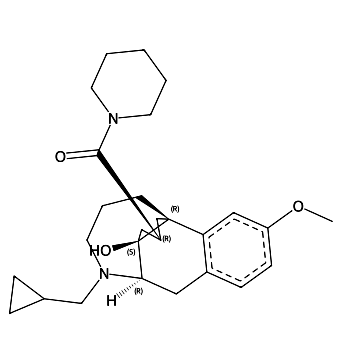 COc1ccc2c(c1)[C@]13CCCN(CC4CC4)[C@H](C2)[C@]1(O)C[C@H](C(=O)N1CCCCC1)C3